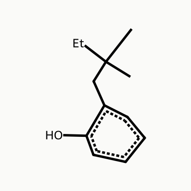 CCC(C)(C)Cc1ccccc1O